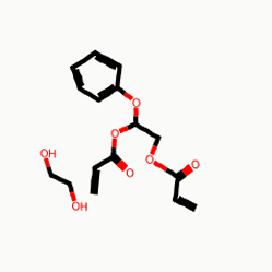 C=CC(=O)OCC(OC(=O)C=C)Oc1ccccc1.OCCO